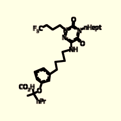 CCCCCCCn1c(=O)c(NCCCCc2cccc(OC(C)(CCC)C(=O)O)c2)nn(CCCC(F)(F)F)c1=O